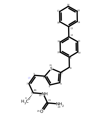 C[C@H](/C=C\c1ccc(Cc2ccc(-c3ccccc3)cc2)s1)NC(N)=O